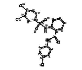 O=C(Nc1ccc(Cl)cc1)c1ccccc1NS(=O)(=O)c1ccc(Cl)c(Cl)c1